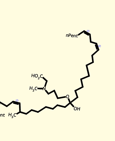 CCCCC/C=C\C/C=C\CCCCCCCCC(O)(CCCCCCCC(C)/C=C\C/C=C\CCCCC)OCCCN(C)CC(=O)O